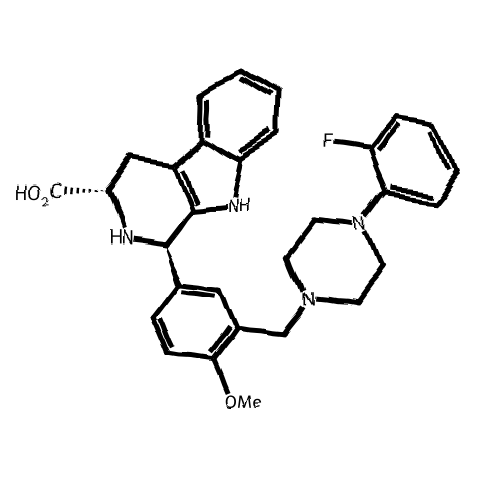 COc1ccc([C@H]2N[C@H](C(=O)O)Cc3c2[nH]c2ccccc32)cc1CN1CCN(c2ccccc2F)CC1